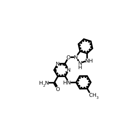 Cc1cccc(Nc2nc(ON3NNc4ccccc43)ncc2C(N)=O)c1